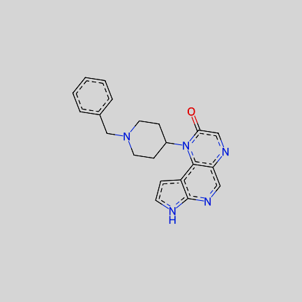 O=c1cnc2cnc3[nH]ccc3c2n1C1CCN(Cc2ccccc2)CC1